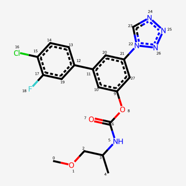 COCC(C)NC(=O)Oc1cc(-c2ccc(Cl)c(F)c2)cc(-n2cnnn2)c1